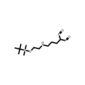 CC(C)(C)[Si](C)(C)OCCNCCCC(P=O)P=O